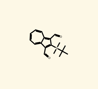 CC(C)(C)[Si](C)(C)c1c(C=O)c2cccccc-2c1C=O